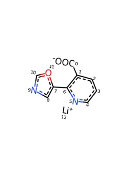 O=C([O-])c1cccnc1-c1cnco1.[Li+]